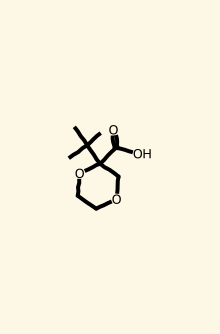 CC(C)(C)C1(C(=O)O)COCCO1